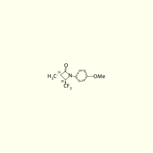 COc1ccc(N2C(=O)[C@@H](C)[C@@H]2C(F)(F)F)cc1